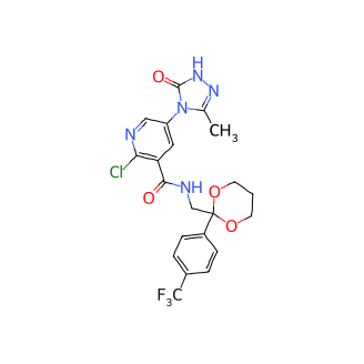 Cc1n[nH]c(=O)n1-c1cnc(Cl)c(C(=O)NCC2(c3ccc(C(F)(F)F)cc3)OCCCO2)c1